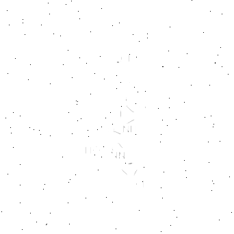 COc1cc(NC(=O)c2cn(-c3ccc(Cl)cc3)nc2CO)ccc1OC[C@H](CC(C)(C)[Si](C)(C)O)C1CC1